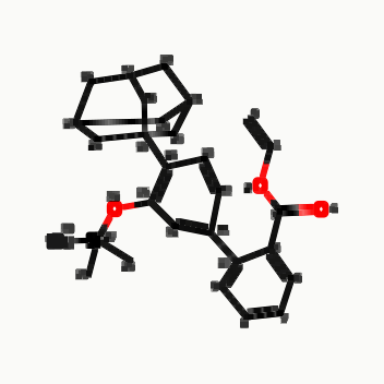 C=COC(=O)c1ccccc1-c1ccc(C23CC4CC(CC(C4)C2)C3)c(O[Si](C)(C)C(C)(C)C)c1